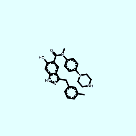 Cc1cccc(Cc2n[nH]c3cc(O)c(C(=O)N(C)c4ccc(N5CCNCC5)cc4)cc23)c1